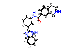 O=C(N[C@@H]1CCC[C@H](c2nc3ccccc3[nH]2)C1)c1ccc2c(c1)CNCC2